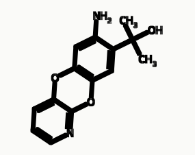 CC(C)(O)c1cc2c(cc1N)Oc1cccnc1O2